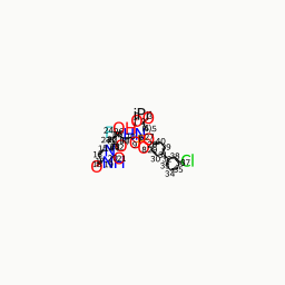 CC(C)OC(=O)[C@H](C)NP(=O)(OC[C@H]1O[C@@H](n2ccc(=O)[nH]c2=O)[C@](C)(F)[C@@H]1O)Oc1ccc(-c2cccc(Cl)c2)cc1